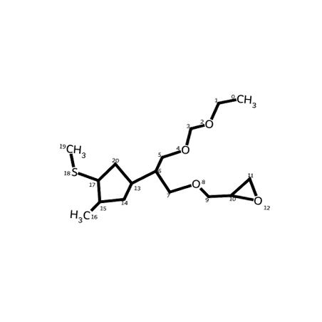 CCOCOCC(COCC1CO1)C1CC(C)C(SC)C1